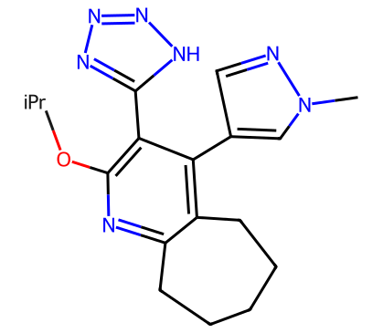 CC(C)Oc1nc2c(c(-c3cnn(C)c3)c1-c1nnn[nH]1)CCCCC2